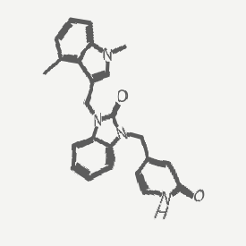 Cc1cccc2c1c(Cn1c(=O)n(Cc3cc[nH]c(=O)c3)c3ccccc31)cn2C